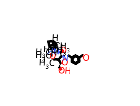 CO[C@@H](C)C1[C@H](CO)ON(Cc2cccc(C=O)c2)[C@@H]1C(=O)N[C@H]1C[C@H]2C[C@@H]([C@@H]1C)C2(C)C